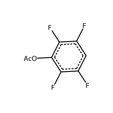 CC(=O)Oc1c(F)c(F)cc(F)c1F